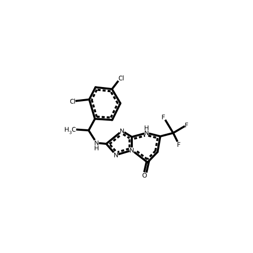 CC(Nc1nc2[nH]c(C(F)(F)F)cc(=O)n2n1)c1ccc(Cl)cc1Cl